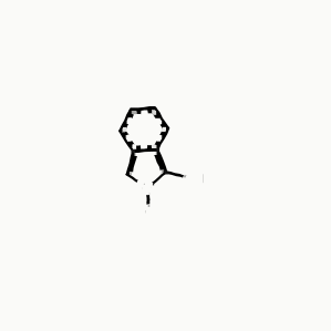 CC1=c2ccccc2=[C][As]1C